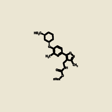 CCCCCCOC(=O)NCc1c(C)noc1-c1ccc(O[C@H]2CCC[C@H](C(=O)O)C2)c(C)n1